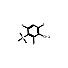 C[Si](C)(C)c1c(F)cc(Br)c(C=O)c1F